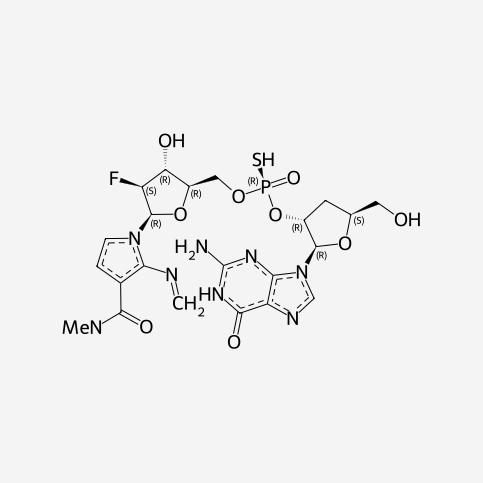 C=Nc1c(C(=O)NC)ccn1[C@@H]1O[C@H](CO[P@@](=O)(S)O[C@@H]2C[C@@H](CO)O[C@H]2n2cnc3c(=O)[nH]c(N)nc32)[C@@H](O)[C@@H]1F